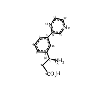 N[C@@H](CC(=O)O)c1cccc(-c2cnccn2)c1